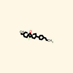 CCCC1CCC(C2CC[C@]3(CC2)C(=O)[C@@]2(CCC(CC)CC2)[C@H]3F)CC1